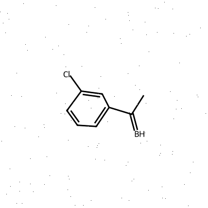 B=C(C)c1cccc(Cl)c1